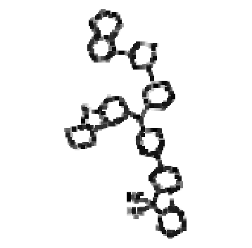 CC1(C)c2ccccc2-c2ccc(-c3ccc(N(c4cccc(-c5cccc(-c6cccc7ccccc67)c5)c4)c4ccc5sc6ccccc6c5c4)cc3)cc21